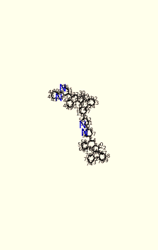 CC1(C)c2cc(-c3ccc(-c4ccc(-c5ccc6c7c(c8ccccc8c6c5)C(C)(C)c5cc(-c6ccnc(-c8ccccn8)c6)c6ccccc6c5-7)cn4)nc3)c3ccccc3c2-c2c1c1ccccc1c1ccccc21